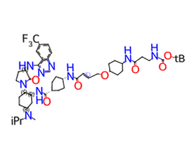 CC(C)N(C)[C@@H]1CC[C@H](N2CC[C@H](Nc3ncnc4ccc(C(F)(F)F)cc34)C2=O)[C@H](NC(=O)[C@H]2CC[C@@H](NC(=O)/C=C/CO[C@H]3CC[C@H](NC(=O)CCNC(=O)OC(C)(C)C)CC3)CC2)C1